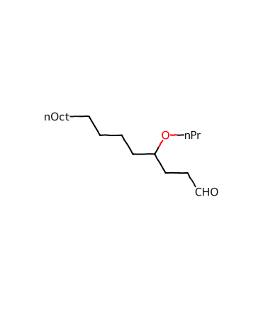 CCCCCCCCCCCCC(CCC=O)OCCC